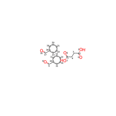 O=C(O)CCC(=O)O.O=Cc1ccccc1.O=Cc1ccccc1